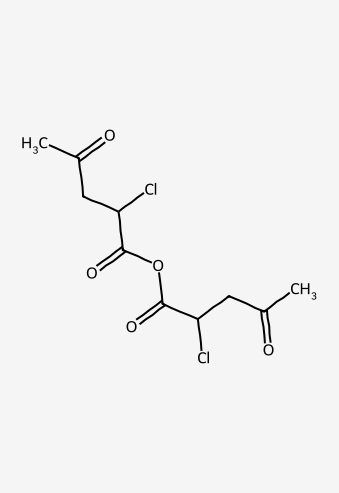 CC(=O)CC(Cl)C(=O)OC(=O)C(Cl)CC(C)=O